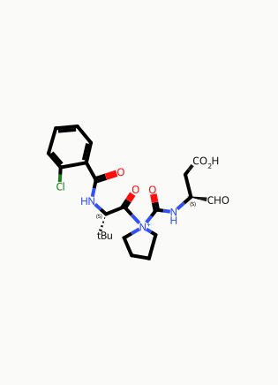 CC(C)(C)[C@H](NC(=O)c1ccccc1Cl)C(=O)[N+]1(C(=O)N[C@H](C=O)CC(=O)O)CCCC1